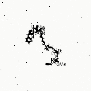 C#CCOCC(CC)(COC)COCC(CC)(CC)COCc1cn(CCCCCC(=O)O[C@]2(CC)C(=O)OCc3c2cc2n(c3=O)Cc3cc4ccccc4nc3-2)nn1